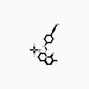 Cc1ccc2n(c1=O)[C@@H](COC1CCC(C#CC(C)C)CC1)[C@@H](NS(C)(=O)=O)CC2